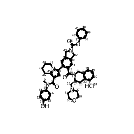 CN(C(=O)c1cc(-c2cc3c(cc2C(=O)N2Cc4ccccc4C[C@H]2CN2CCOCC2)CN(C(=O)Oc2ccccc2)C3)n2c1CCCC2)c1ccc(O)cc1.Cl